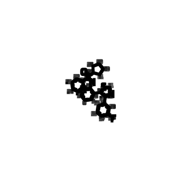 O=S(=Nc1ncccc1-c1scnc1-c1cccc(F)c1)(c1ccccc1)C1CCCC1